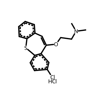 CN(C)CCOC1=Cc2ccccc2Sc2ccc(Cl)cc21.Cl